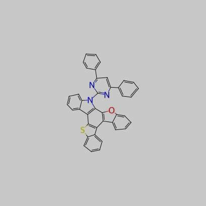 c1ccc(-c2cc(-c3ccccc3)nc(-n3c4ccccc4c4c5sc6ccccc6c5c5c6ccccc6oc5c43)n2)cc1